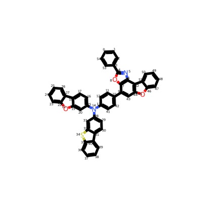 c1ccc(-c2nc3c(o2)c(-c2ccc(N(c4ccc5c(c4)oc4ccccc45)c4ccc5c(c4)sc4ccccc45)cc2)cc2oc4ccccc4c23)cc1